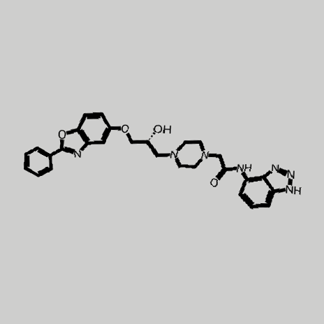 O=C(CN1CCN(C[C@@H](O)COc2ccc3oc(-c4ccccc4)nc3c2)CC1)Nc1cccc2[nH]nnc12